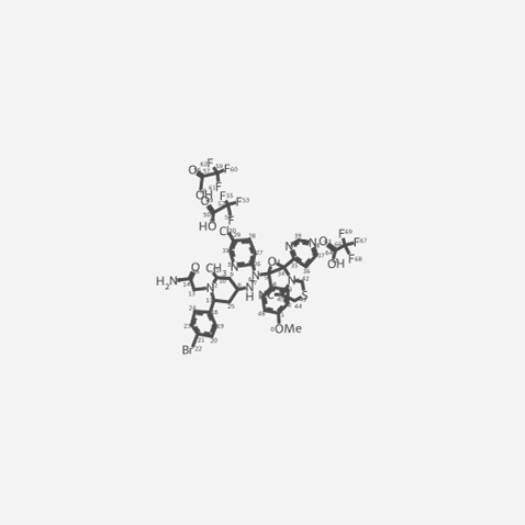 COc1ccc(C2(N(NC3CC(C)N(CC(N)=O)C(c4ccc(Br)cc4)C3)c3ccc(Cl)cn3)OC2(c2ccncn2)N2CSCC2C#N)cc1.O=C(O)C(F)(F)F.O=C(O)C(F)(F)F.O=C(O)C(F)(F)F